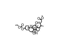 CCOC(=O)O[C@@H]1CC[C@@]2(C)C(C1)C[C@@H](O)[C@H]1[C@@H]3CC[C@H]([C@H](C)CCC(=O)OC)[C@@]3(C)[C@@H](O)C[C@@H]12